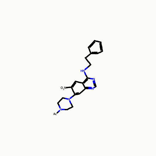 CC(=O)N1CCN(c2cc3ncnc(NCCc4ccccc4)c3cc2[N+](=O)[O-])CC1